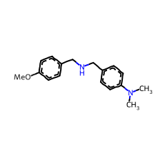 COc1ccc(CNCc2ccc(N(C)C)cc2)cc1